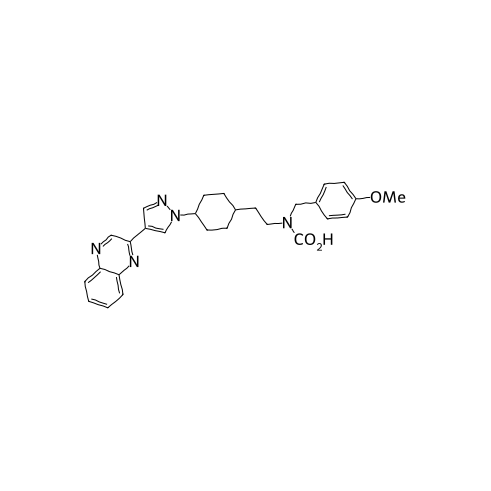 COc1ccc(CN(CCC2CCC(n3cc(-c4cnc5ccccc5n4)cn3)CC2)C(=O)O)cc1